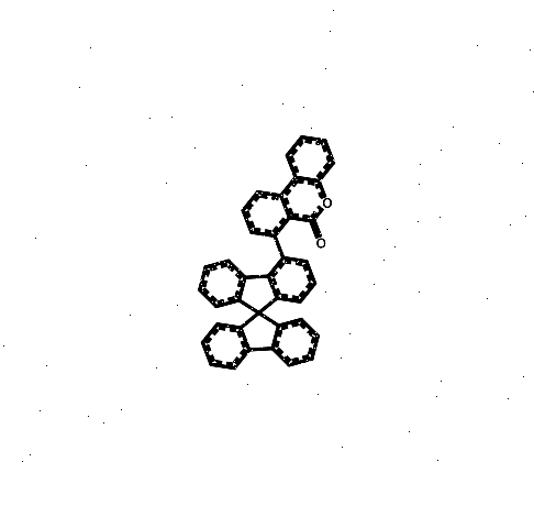 O=c1oc2ccccc2c2cccc(-c3cccc4c3-c3ccccc3C43c4ccccc4-c4ccccc43)c12